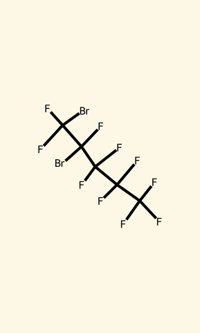 FC(F)(F)C(F)(F)C(F)(F)C(F)(Br)C(F)(F)Br